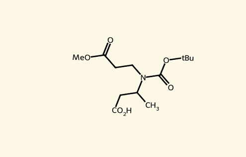 COC(=O)CCN(C(=O)OC(C)(C)C)C(C)CC(=O)O